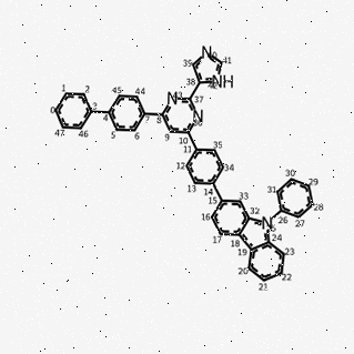 c1ccc(-c2ccc(-c3cc(-c4ccc(-c5ccc6c7ccccc7n(-c7ccccc7)c6c5)cc4)nc(-c4cnc[nH]4)n3)cc2)cc1